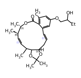 CCC(O)COc1cc(C)c2c(c1)/C=C/C[C@@H]1OC(C)(C)OC1C(C)/C=C\[C@@H](C)[C@H](C)OC2=O